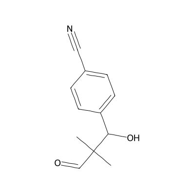 CC(C)(C=O)C(O)c1ccc(C#N)cc1